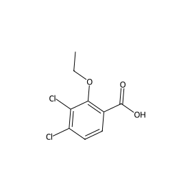 CCOc1c(C(=O)O)ccc(Cl)c1Cl